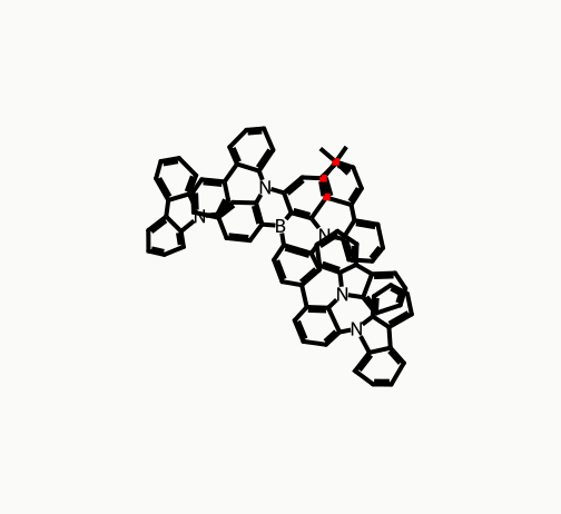 CC(C)(C)c1cc2c3c(c1)N(c1ccccc1-c1ccccc1)c1cc(-n4c5ccccc5c5ccccc54)ccc1B3c1ccc(-c3cccc(-n4c5ccccc5c5ccccc54)c3-n3c4ccccc4c4ccccc43)cc1N2c1ccccc1-c1ccccc1